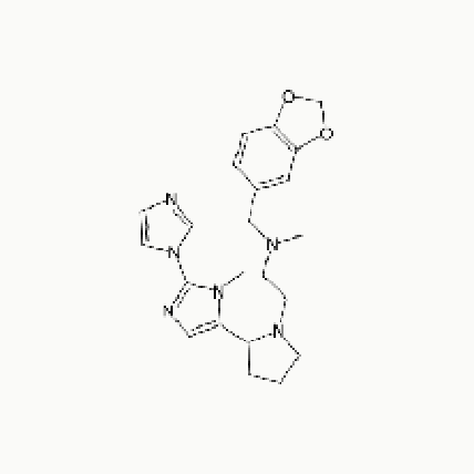 CN(CCN1CCCC1c1cnc(-n2ccnc2)n1C)Cc1ccc2c(c1)OCO2